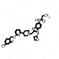 O=C(CC(F)(F)F)Nc1ccc2c(c1)nc(CN1CCC(c3cccc(OCc4ccc(Cl)cc4F)n3)CC1)n2C[C@@H]1CCO1